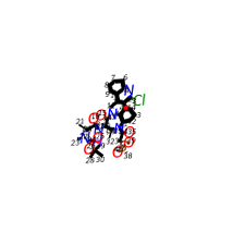 Cc1c(Cl)nc2ccccc2c1CN1C(=O)[C@@H](NC(=O)[C@H](C)N(C)C(=O)OC(C)(C)C)[C@H](C)N(C(=O)CS(C)(=O)=O)c2ccccc21